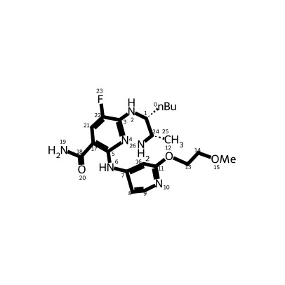 CCCC[C@@H](Nc1nc(Nc2ccnc(OCCOC)c2)c(C(N)=O)cc1F)[C@H](C)N